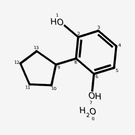 O.Oc1cccc(O)c1C1CCCC1